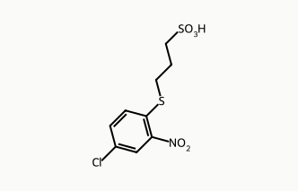 O=[N+]([O-])c1cc(Cl)ccc1SCCCS(=O)(=O)O